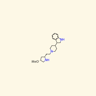 CO[C@H]1CN[C@H](CCN2CCC(C3CNc4ccccc43)CC2)C1